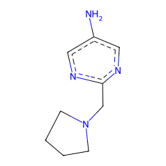 Nc1cnc(CN2CCCC2)nc1